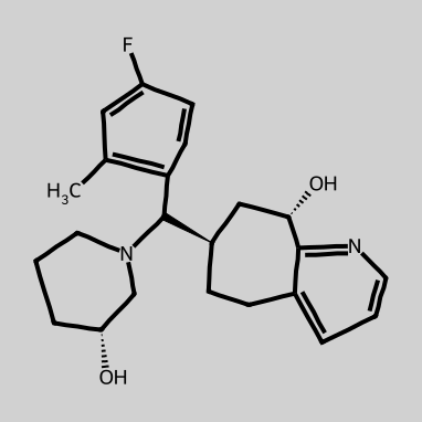 Cc1cc(F)ccc1C([C@@H]1CCc2cccnc2[C@@H](O)C1)N1CCC[C@@H](O)C1